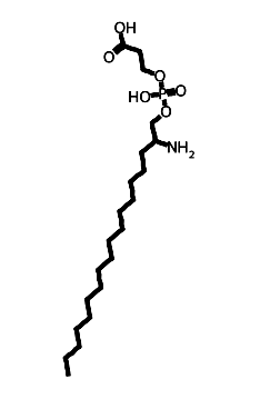 CCCCCCCCCCCCCCCCC(N)COP(=O)(O)OCCC(=O)O